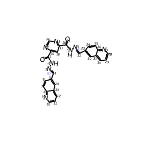 O=C(N/N=C/c1ccc2ncccc2c1)c1cc(C(=O)N/N=C/c2ccc3ncccc3c2)ncn1